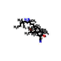 CCCC(C)(C)CC[C@](C)(N)CCC(C)(C)[C@]1(C)CC[C@H]2C(C)(C)C(=O)C(C#N)=C[C@]2(C)/C1=C/C(C)=O